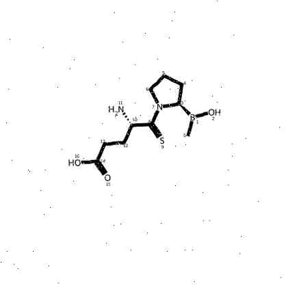 CB(O)[C@@H]1CCCN1C(=S)[C@@H](N)CCC(=O)O